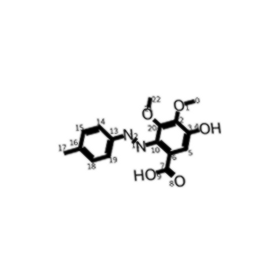 COc1c(O)cc(C(=O)O)c(/N=N/c2ccc(C)cc2)c1OC